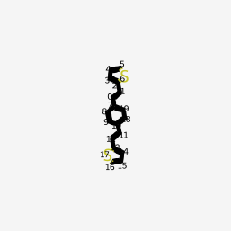 C(=Cc1cccs1)c1ccc(C=Cc2cccs2)cc1